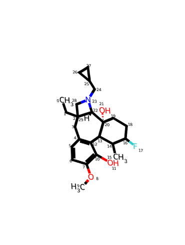 CCC12Cc3ccc(OC)c(O)c3C3C(C)C(F)CC[C@]3(O)[C@H]1N(CC1CC1)C2